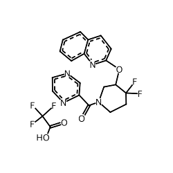 O=C(O)C(F)(F)F.O=C(c1cnccn1)N1CCC(F)(F)C(Oc2ccc3ccccc3n2)C1